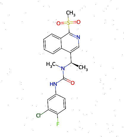 C[C@H](c1cnc(S(C)(=O)=O)c2ccccc12)N(C)C(=O)Nc1ccc(F)c(Cl)c1